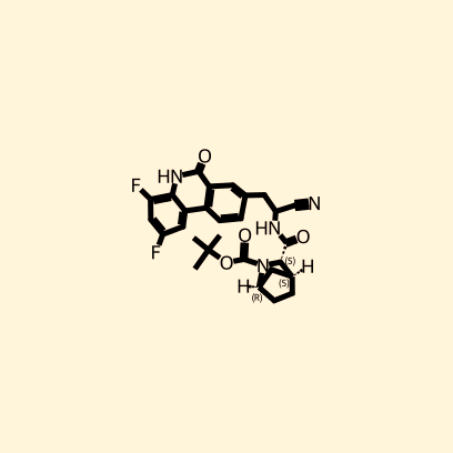 CC(C)(C)OC(=O)N1[C@@H]2CC[C@@H](C2)[C@H]1C(=O)NC(C#N)Cc1ccc2c(c1)c(=O)[nH]c1c(F)cc(F)cc12